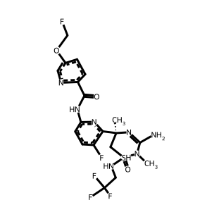 CN1C(N)=N[C@](C)(c2nc(NC(=O)c3ccc(OCF)cn3)ccc2F)C[SH]1(=O)NCC(F)(F)F